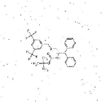 CC(C)(C)OC(=O)N[C@H](COCc1cc(C(F)(F)F)cc(C(F)(F)F)c1)C(c1ccccc1)c1ccccc1